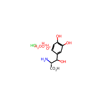 Cl.N[C@H](C(=O)O)C(O)c1ccc(O)c(O)c1.O.O.O